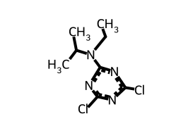 CCN(c1nc(Cl)nc(Cl)n1)C(C)C